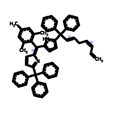 C=C/C=C\C/C=C/C(c1ccccc1)(c1ccccc1)c1ccc(/C(=C2/C=CC(C(c3ccccc3)(c3ccccc3)c3ccccc3)=N2)c2c(C)cc(C)cc2C)[nH]1